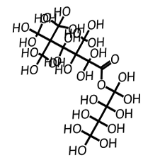 O=C(OC(O)(O)C(O)(O)C(O)(O)C(O)(O)O)C(O)(O)C(O)(C(O)(O)O)C(O)(O)C(C(O)(O)O)(C(O)(O)O)C(O)(O)O